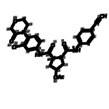 C#Cc1ccc(NC(=O)N2CC(OC(C)=O)CN2C(=O)Nc2ccc(N3CCOCC3=O)c(Cl)c2)cc1